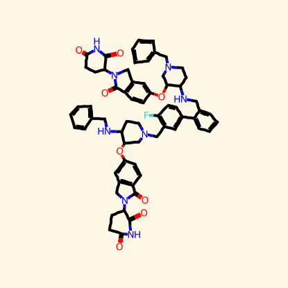 O=C1CCC(N2Cc3cc(OC4CN(Cc5ccccc5)CCC4NCc4ccccc4-c4ccc(F)c(CN5CCC(NCc6ccccc6)C(Oc6ccc7c(c6)CN(C6CCC(=O)NC6=O)C7=O)C5)c4)ccc3C2=O)C(=O)N1